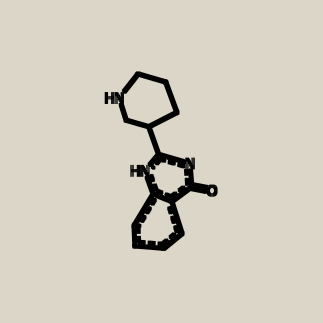 O=c1nc(C2CCCNC2)[nH]c2ccccc12